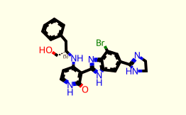 O=c1[nH]ccc(N[C@H](CO)Cc2ccccc2)c1-c1nc2c(Br)cc(C3=NCCN3)cc2[nH]1